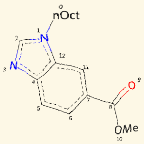 CCCCCCCCn1cnc2ccc(C(=O)OC)cc21